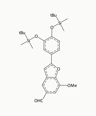 COc1cc(C=O)cc2cc(-c3ccc(O[Si](C)(C)C(C)(C)C)c(O[Si](C)(C)C(C)(C)C)c3)oc12